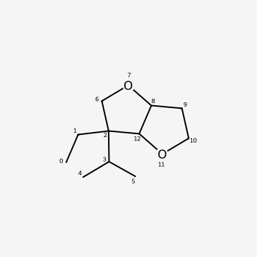 CCC1(C(C)C)COC2CCOC21